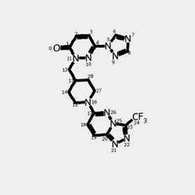 O=c1ccc(-n2cncn2)nn1CC1CCN(c2ccc3nnc(C(F)(F)F)n3n2)CC1